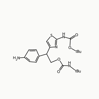 CC(C)(C)NC(=O)OCC(c1ccc(N)cc1)c1csc(NC(=O)OC(C)(C)C)n1